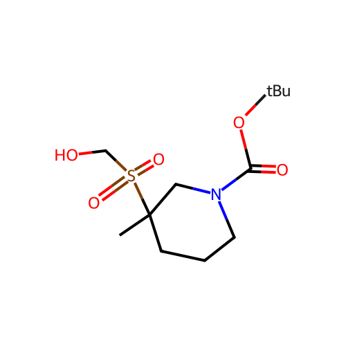 CC(C)(C)OC(=O)N1CCCC(C)(S(=O)(=O)CO)C1